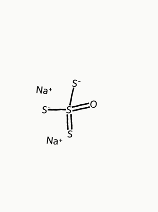 O=S(=S)([S-])[S-].[Na+].[Na+]